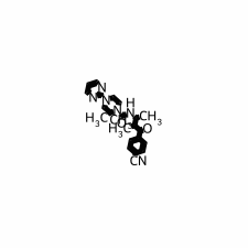 CC(NC(=O)N1CCN(c2ncccn2)CC1(C)C)C(C)C(=O)c1ccc(C#N)cc1